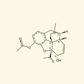 CC(=O)Oc1ccc2c3c1O[C@@]1(C(C)=O)[C@@H](O)C=C[C@H]4[C@@H](C2)N(C)CC[C@@]341